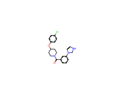 O=C(c1cccc(N2C=CNC2)c1)N1CCC(Oc2ccc(Cl)cc2)CC1